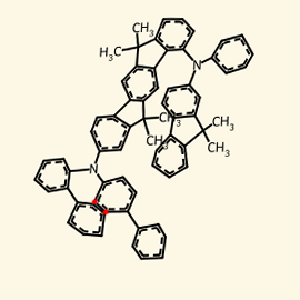 CC1(C)c2ccccc2-c2ccc(N(c3ccccc3)c3cccc4c3-c3cc5c(cc3C4(C)C)-c3ccc(N(c4ccc(-c6ccccc6)cc4)c4ccccc4-c4ccccc4)cc3C5(C)C)cc21